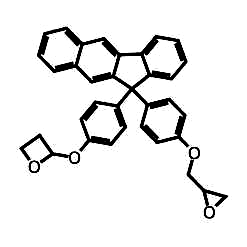 c1ccc2c(c1)-c1cc3ccccc3cc1C2(c1ccc(OCC2CO2)cc1)c1ccc(OC2CCO2)cc1